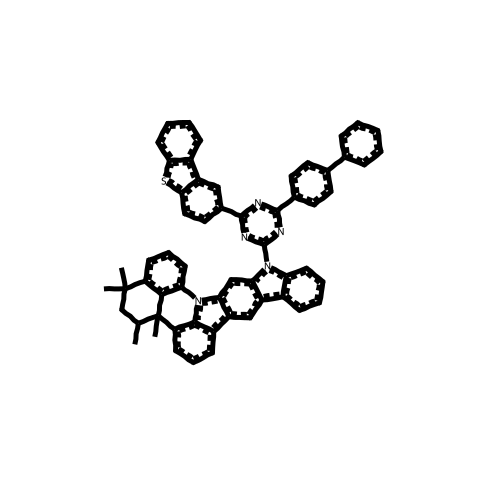 CC1CC(C)(C)c2cccc3c2C1(C)c1cccc2c4cc5c6ccccc6n(-c6nc(-c7ccc(-c8ccccc8)cc7)nc(-c7ccc8sc9ccccc9c8c7)n6)c5cc4n-3c12